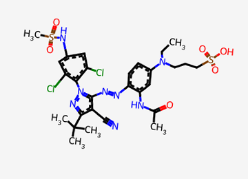 CCN(CCCS(=O)(=O)O)c1ccc(/N=N/c2c(C#N)c(C(C)(C)C)nn2-c2c(Cl)cc(NS(C)(=O)=O)cc2Cl)c(NC(C)=O)c1